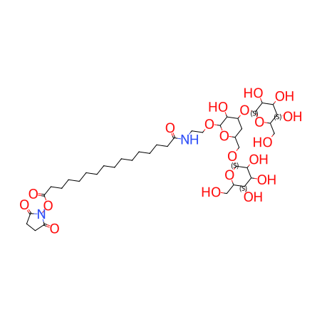 O=C(CCCCCCCCCCCCCCC(=O)ON1C(=O)CCC1=O)NCCOC1OC(CO[C@H]2OC(CO)[C@@H](O)C(O)C2O)CC(O[C@H]2OC(CO)[C@@H](O)C(O)C2O)C1O